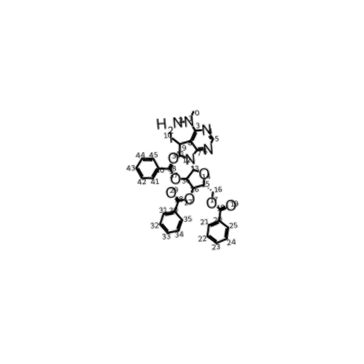 CN(N)c1ncnc2c1C(I)CN2[C@@H]1O[C@H](COC(=O)c2ccccc2)C(OC(=O)c2ccccc2)C1OC(=O)c1ccccc1